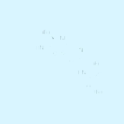 CC[C@H](C)[C@H](NC(=O)[C@@H]1CC[C@H](c2ccccc2)N1C(=O)[C@@H](NC(=O)OC(C)(C)C)C(C)C)C(=O)NC(c1ccccc1)c1ccccc1